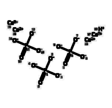 O=P([O-])([O-])[O-].O=P([O-])([O-])[O-].O=P([O-])([O-])[O-].[Ca+2].[Ca+2].[Ca+2].[Ca+2].[H+]